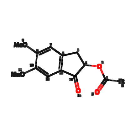 CCC(=O)OC1Cc2cc(OC)c(OC)cc2C1=O